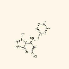 Fc1c[nH]c2nc(Cl)nc(NCc3ccncc3)c12